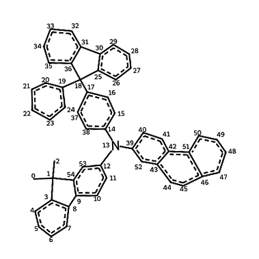 CC1(C)c2ccccc2-c2ccc(N(c3ccc(C4(c5ccccc5)c5ccccc5-c5ccccc54)cc3)c3ccc4c(ccc5ccccc54)c3)cc21